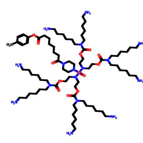 NCCCCCCN(CCCCCCN)C(=O)OCCN(CCOC(=O)N(CCCCCCN)CCCCCCN)P(=O)(N(CCOC(=O)N(CCCCCCN)CCCCCCN)CCOC(=O)N(CCCCCCN)CCCCCCN)N1CCN(C(=O)CCCCCCC(=O)Oc2ccc([N+](=O)[O-])cc2)CC1